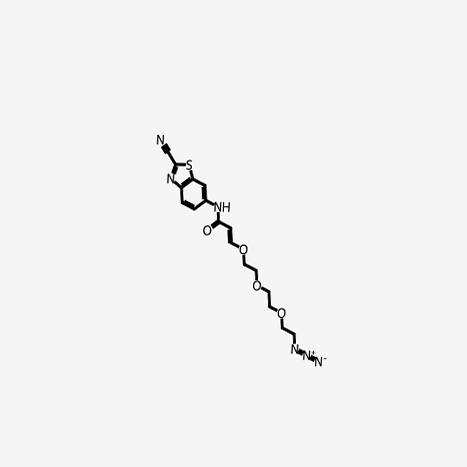 N#Cc1nc2ccc(NC(=O)C=COCCOCCOCCN=[N+]=[N-])cc2s1